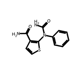 NC(=O)c1ccsc1N(C(N)=O)c1ccccc1